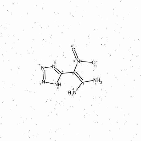 NC(N)=C(c1nnn[nH]1)[N+](=O)[O-]